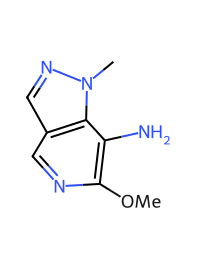 COc1ncc2cnn(C)c2c1N